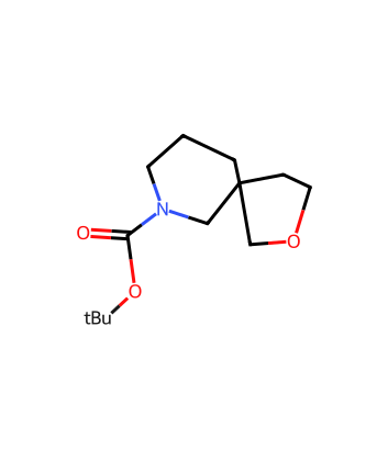 CC(C)(C)OC(=O)N1CCCC2(CCOC2)C1